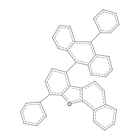 c1ccc(-c2c3ccccc3c(-c3ccc(-c4ccccc4)c4oc5c6ccccc6ccc5c34)c3ccccc23)cc1